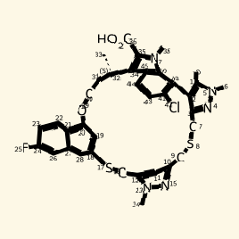 Cc1c2c(nn1C)CSCc1cc(n(C)n1)CSc1cc(c3ccc(F)cc3c1)OCC[C@H](C)c1c(C(=O)O)n(C)c3c-2c(Cl)ccc13